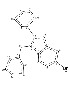 Brc1ccc2c(c1)cc(-c1ccccc1)n2Cc1ccccc1